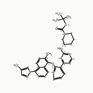 Cc1cnn(-c2cccc3c(Oc4ncccc4-c4ccnc(N[C@H]5CCCN(C(=O)OC(C)(C)C)C5)n4)c(C)ccc23)c1